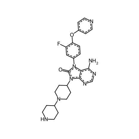 Nc1ncnc2c1n(-c1ccc(Oc3ccncc3)c(F)c1)c(=O)n2C1CCN(C2CCNCC2)CC1